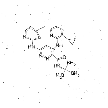 BC(B)(B)NC(=O)c1nnc(Nc2cc(C)ccn2)cc1Nc1ncccc1C1CC1